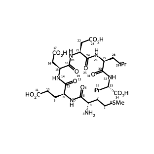 CSCC[C@H](N)C(=O)N[C@@H](CCC(=O)O)C(=O)N[C@@H](CC(=O)O)C(=O)N[C@@H](CC(=O)O)C(=O)N[C@@H](CC(C)C)C(=O)N[C@H](C(=O)O)C(C)C